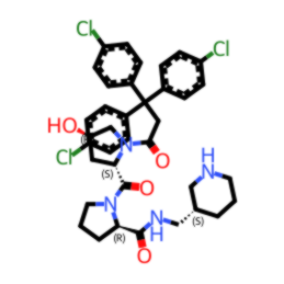 O=C(NC[C@H]1CCCNC1)[C@H]1CCCN1C(=O)[C@@H]1C[C@@H](O)CN1C(=O)CC(c1ccc(Cl)cc1)(c1ccc(Cl)cc1)c1ccc(Cl)cc1